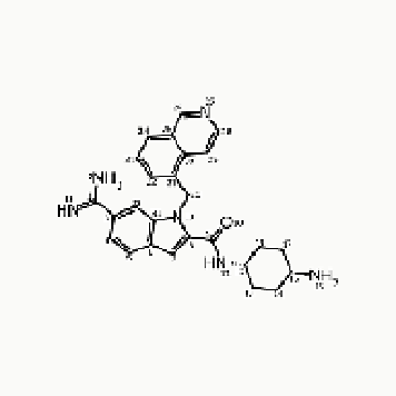 N=C(N)c1ccc2cc(C(=O)N[C@H]3CC[C@H](N)CC3)n(Cc3cccc4cnccc34)c2c1